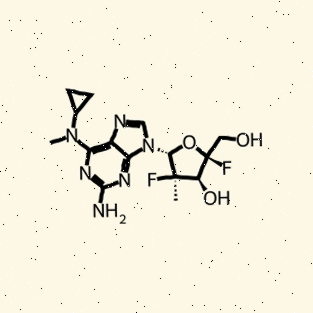 CN(c1nc(N)nc2c1ncn2[C@@H]1O[C@](F)(CO)[C@@H](O)[C@@]1(C)F)C1CC1